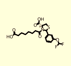 O=C(O)CCCCCCC(=O)N1C(c2cccc(OC(F)F)c2)SC[C@H]1C(=O)O